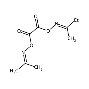 CC/C(C)=N/OC(=O)C(=O)ON=C(C)C